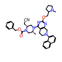 C[C@H]1CN(C(=O)OCc2ccccc2)[C@@H](CC#N)CN1c1nc(OCC2CCCN2C)nc2c1CCN(c1cccc3ccccc13)C2